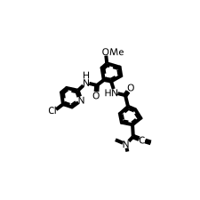 C=C=C(c1ccc(C(=O)Nc2ccc(OC)cc2C(=O)Nc2ccc(Cl)cn2)cc1)N(C)C